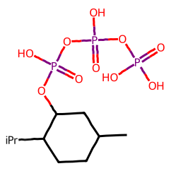 CC1CCC(C(C)C)C(OP(=O)(O)OP(=O)(O)OP(=O)(O)O)C1